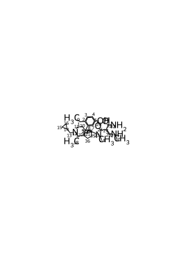 CCc1ccc(O)cc1C12CCN(CC3CC3)C(C)C13CCC(N(C)C(=O)/C(=C/NC)C(N)=O)C2CC3